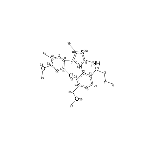 CCCC(Nc1nc(-c2cc(C)c(OC)cc2Cl)c(C)s1)c1ccc(COC)cc1